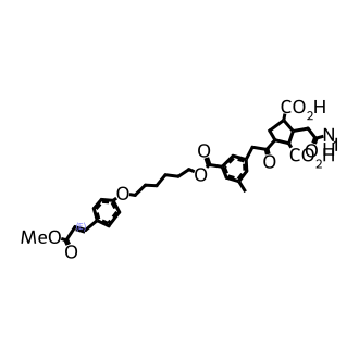 COC(=O)/C=C/c1ccc(OCCCCCCOC(=O)c2cc(C)cc(CC(=O)C3CC(C(=O)O)C(CC(=O)NI)C3C(=O)O)c2)cc1